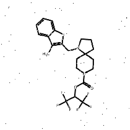 Cc1c(CN2CCCC23CCN(C(=O)OC(C(F)(F)F)C(F)(F)F)CC3)sc2ccccc12